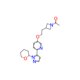 CC(=O)N1CC(CCOc2ccc(-c3ccnn3C3CCCCO3)nc2)C1